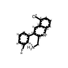 NCc1nc2cccc(Cl)c2cc1-c1cccc(F)c1